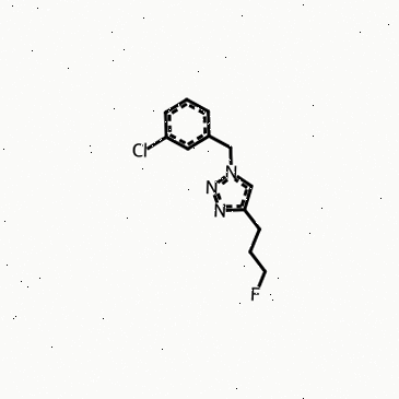 FCCCc1cn(Cc2cccc(Cl)c2)nn1